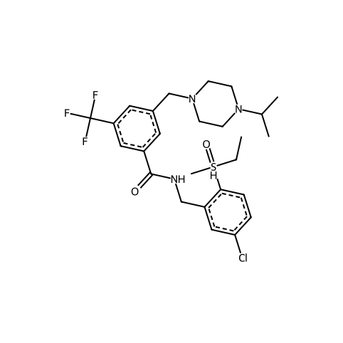 CC[SH](C)(=O)c1ccc(Cl)cc1CNC(=O)c1cc(CN2CCN(C(C)C)CC2)cc(C(F)(F)F)c1